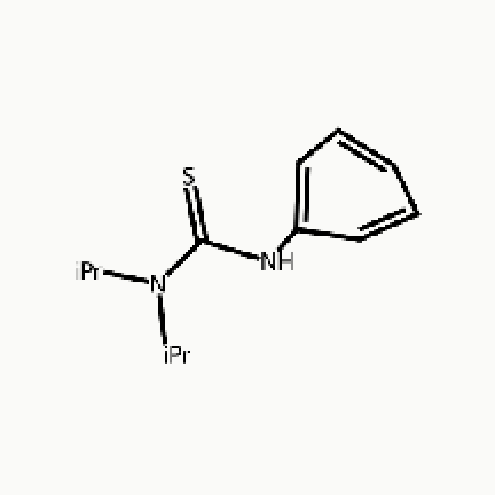 CC(C)N(C(=S)Nc1ccccc1)C(C)C